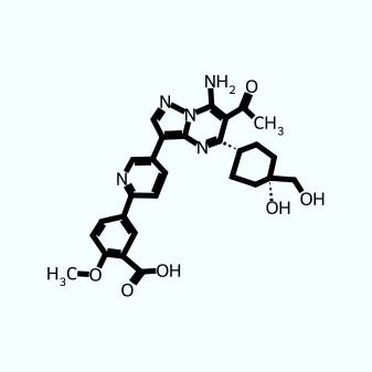 COc1ccc(-c2ccc(-c3cnn4c(N)c(C(C)=O)c([C@H]5CC[C@](O)(CO)CC5)nc34)cn2)cc1C(=O)O